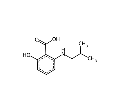 CC(C)CNc1cccc(O)c1C(=O)O